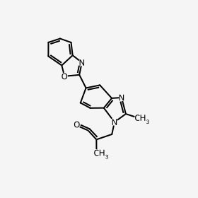 CC(=C=O)Cn1c(C)nc2cc(-c3nc4ccccc4o3)ccc21